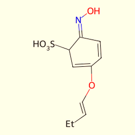 CCC=COC1=CC(S(=O)(=O)O)C(=NO)C=C1